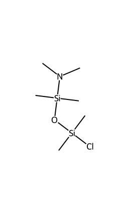 CN(C)[Si](C)(C)O[Si](C)(C)Cl